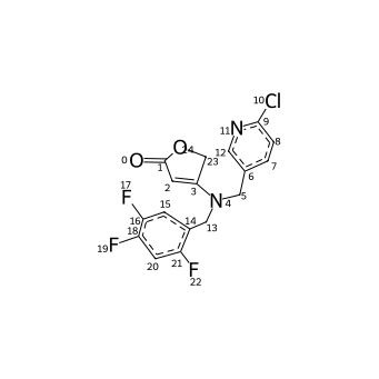 O=C1C=C(N(Cc2ccc(Cl)nc2)Cc2cc(F)c(F)cc2F)CO1